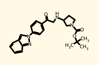 CC(C)(C)OC(=O)N1CCC(NCC(=O)c2ccc(-n3cc4ccccc4n3)cc2)C1